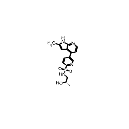 C[C@H](O)CNS(=O)(=O)c1ccc(-c2ccnc3[nH]c(C(F)(F)F)cc23)cn1